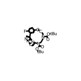 CC(C)(C)OC(=O)N1CCOc2ccc(F)c(c2)-c2cnn3ccc(nc23)N(C(=O)OC(C)(C)C)CC1